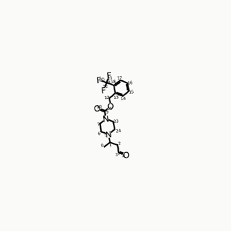 CC(C[C]=O)N1CCN(C(=O)OCc2ccccc2C(F)(F)F)CC1